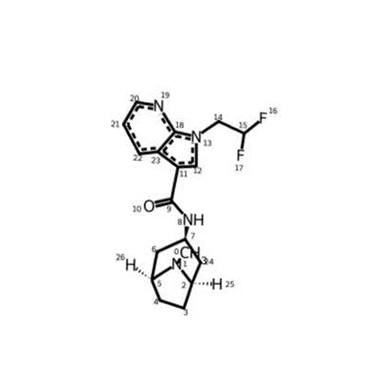 CN1[C@@H]2CC[C@H]1C[C@@H](NC(=O)c1cn(CC(F)F)c3ncccc13)C2